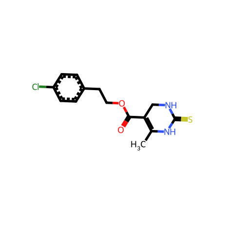 CC1=C(C(=O)OCCc2ccc(Cl)cc2)CNC(=S)N1